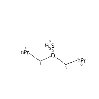 CCCCOCCCC.S